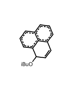 CC(C)COC1C=Cc2cccc3cccc1c23